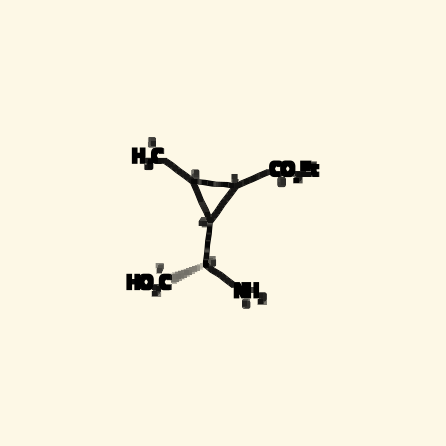 CCOC(=O)C1C(C)C1[C@H](N)C(=O)O